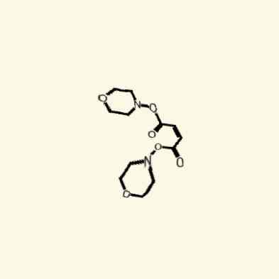 O=C(/C=C\C(=O)ON1CCOCC1)ON1CCOCC1